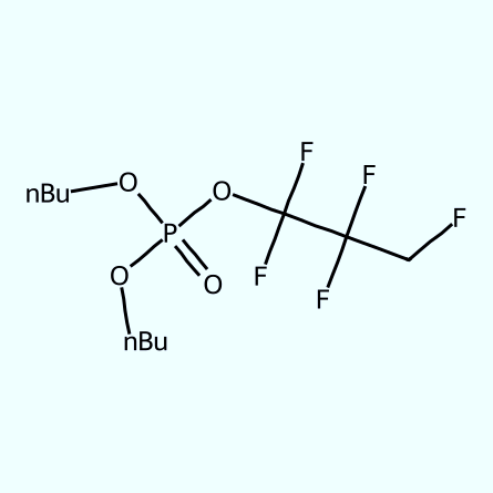 CCCCOP(=O)(OCCCC)OC(F)(F)C(F)(F)CF